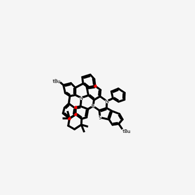 Cc1cc2c3c(c1)N(c1ccccc1)c1c(sc4cc(C(C)(C)C)ccc14)B3c1cc3c(cc1N2c1c(-c2ccccc2)cc(C(C)(C)C)cc1-c1ccccc1)C(C)(C)CCC3(C)C